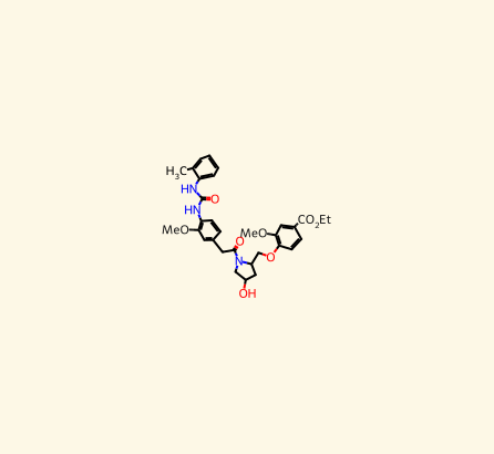 CCOC(=O)c1ccc(OCC2CC(O)CN2C(=O)Cc2ccc(NC(=O)Nc3ccccc3C)c(OC)c2)c(OC)c1